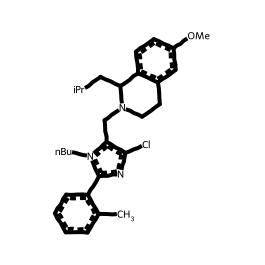 CCCCn1c(-c2ccccc2C)nc(Cl)c1CN1CCc2cc(OC)ccc2C1CC(C)C